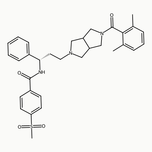 Cc1cccc(C)c1C(=O)N1CC2CN(CC[C@H](NC(=O)c3ccc(S(C)(=O)=O)cc3)c3ccccc3)CC2C1